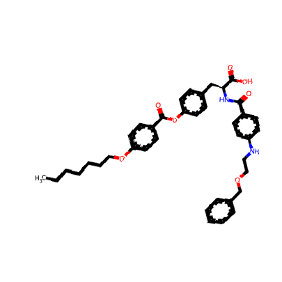 CCCCCCCOc1ccc(C(=O)Oc2ccc(C[C@H](NC(=O)c3ccc(NCCOCc4ccccc4)cc3)C(=O)O)cc2)cc1